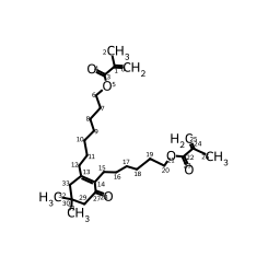 C=C(C)C(=O)OCCCCCCCC1=C(CCCCCCOC(=O)C(=C)C)C(=O)CC(C)(C)C1